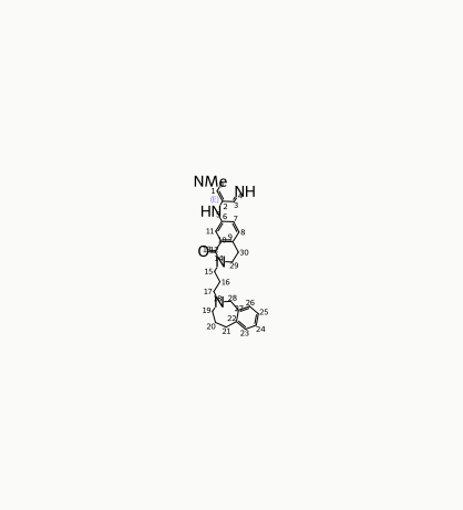 CN/C=C(\C=N)Nc1ccc2c(c1)C(=O)N(CCCN1CCCc3ccccc3C1)CC2